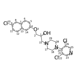 OC(COc1ccc2cc(Cl)ccc2c1)CN1CCN(c2c(Cl)cncc2Cl)CC1